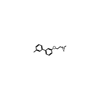 Cc1cccc(-c2cccc(OCCN(C)C)c2)c1